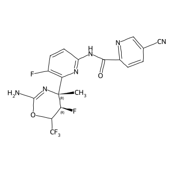 C[C@]1(c2nc(NC(=O)c3ccc(C#N)cn3)ccc2F)N=C(N)OC(C(F)(F)F)[C@@H]1F